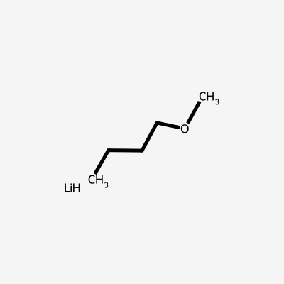 CCCCOC.[LiH]